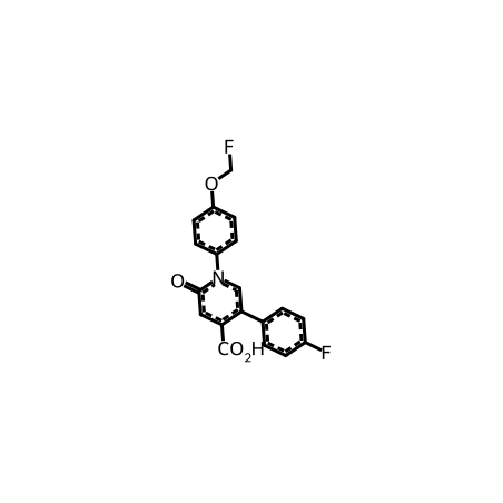 O=C(O)c1cc(=O)n(-c2ccc(OCF)cc2)cc1-c1ccc(F)cc1